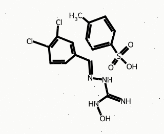 Cc1ccc(S(=O)(=O)O)cc1.N=C(NO)N/N=C/c1ccc(Cl)c(Cl)c1